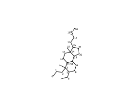 CCCC1(C)C(CC)CCC2C1CCC1(C)C(CCSC)CCC21